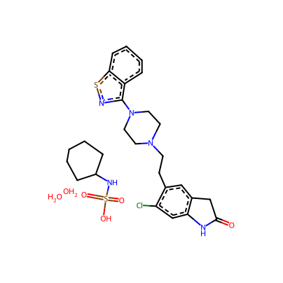 O.O.O=C1Cc2cc(CCN3CCN(c4nsc5ccccc45)CC3)c(Cl)cc2N1.O=S(=O)(O)NC1CCCCC1